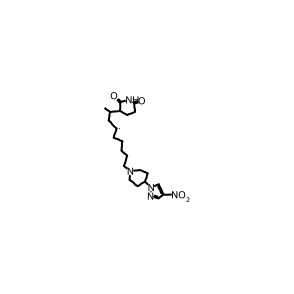 CC(C[CH]CCCCCN1CCC(n2cc([N+](=O)[O-])cn2)CC1)C1CCC(=O)NC1=O